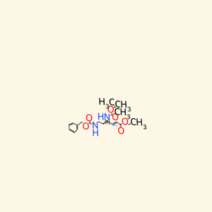 CCOC(=O)/C=C/[C@@H](CCNC(=O)OCc1ccccc1)NC(=O)OC(C)(C)C